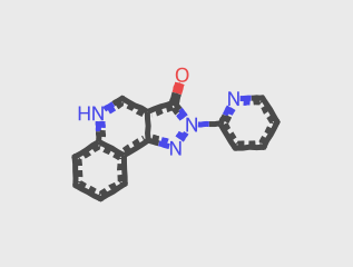 O=c1c2c[nH]c3ccccc3c-2nn1-c1ccccn1